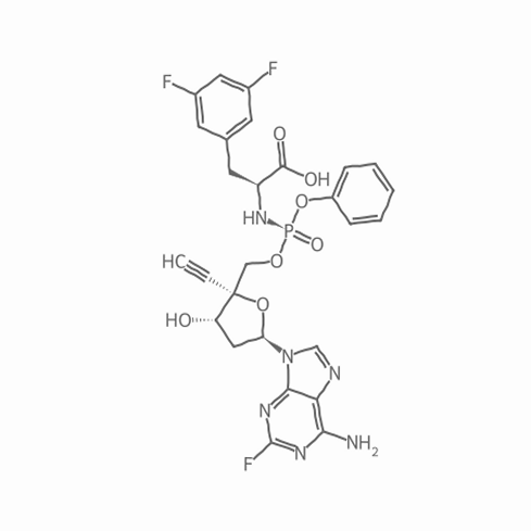 C#C[C@]1(CO[P@](=O)(N[C@@H](Cc2cc(F)cc(F)c2)C(=O)O)Oc2ccccc2)O[C@@H](n2cnc3c(N)nc(F)nc32)C[C@@H]1O